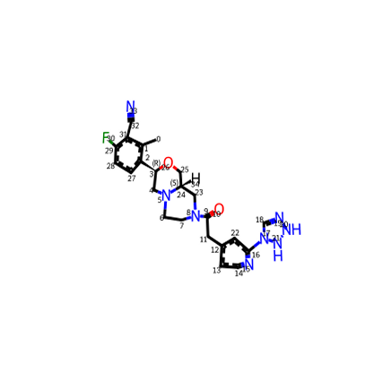 Cc1c([C@@H]2CN3CCN(C(=O)Cc4ccnc(N5C=NNN5)c4)C[C@H]3CO2)ccc(F)c1C#N